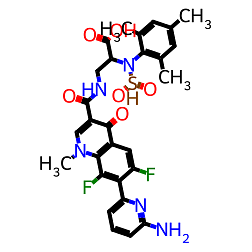 Cc1cc(C)c(N(C(CNC(=O)c2cn(C)c3c(F)c(-c4cccc(N)n4)c(F)cc3c2=O)C(=O)O)[SH](=O)=O)c(C)c1